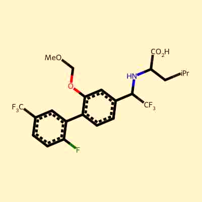 COCOc1cc(C(NC(CC(C)C)C(=O)O)C(F)(F)F)ccc1-c1cc(C(F)(F)F)ccc1F